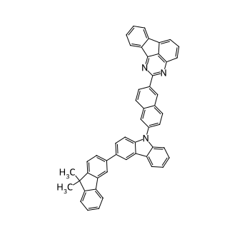 CC1(C)c2ccccc2-c2cc(-c3ccc4c(c3)c3ccccc3n4-c3ccc4cc(-c5nc6c7c(cccc7n5)-c5ccccc5-6)ccc4c3)ccc21